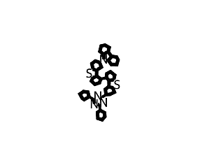 c1ccc(-c2nc(-c3ccccc3)nc(-c3ccc4sc5cccc(-c6cccc7sc8ccc(-n9c%10ccccc%10c%10ccccc%109)cc8c67)c5c4c3)n2)cc1